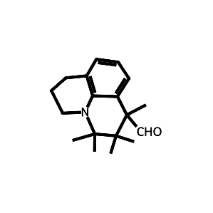 CC1(C=O)c2cccc3c2N(CCC3)C(C)(C)C1(C)C